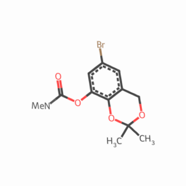 CNC(=O)Oc1cc(Br)cc2c1OC(C)(C)OC2